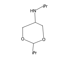 CC(C)NC1COC(C(C)C)OC1